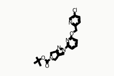 CC(C)(C)OC(=O)N1Cc2cn(-c3cccc(OCc4ccc(Cl)cn4)n3)nc2C1